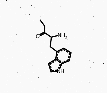 CCC(=O)C(N)Cc1cccc2[nH]ccc12